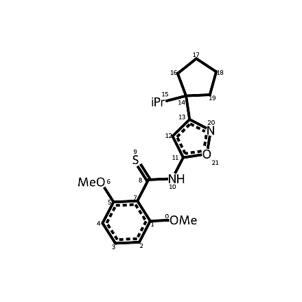 COc1cccc(OC)c1C(=S)Nc1cc(C2(C(C)C)CCCC2)no1